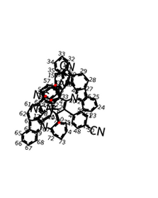 C=C(/C(=C(\C(=C(\C#N)C(C)(C#N)/C=C\C)c1ccc(C#N)cc1)n1c2ccccc2c2ccc3c4ccccc4n(-c4ccccc4)c3c21)c1ccc(C#N)cc1)n1c2ccccc2c2ccc3c4ccccc4n(-c4ccccc4)c3c21